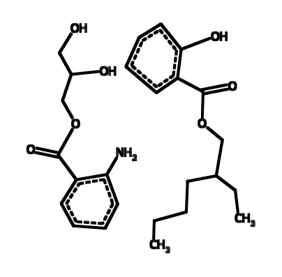 CCCCC(CC)COC(=O)c1ccccc1O.Nc1ccccc1C(=O)OCC(O)CO